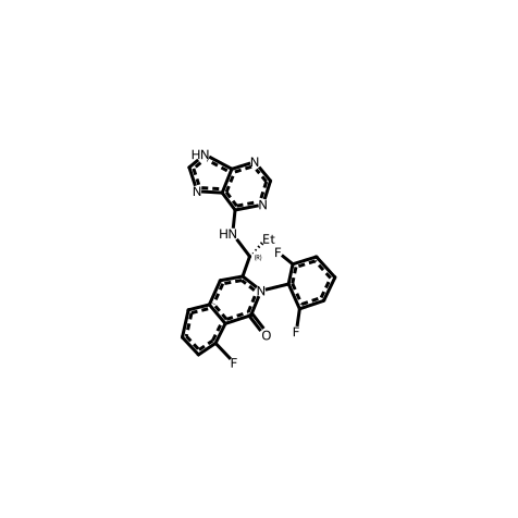 CC[C@@H](Nc1ncnc2[nH]cnc12)c1cc2cccc(F)c2c(=O)n1-c1c(F)cccc1F